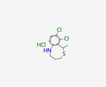 CC1SCCCNc2ccc(Cl)c(Cl)c21.Cl